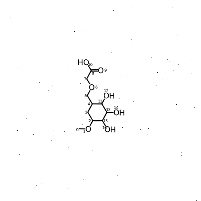 COC1CC(COCC(=O)O)C(O)C(O)C1O